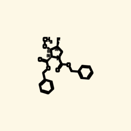 CO[C@H]1[C@@H](C(=O)OCc2ccccc2)N(C(=O)OCc2ccccc2)C[C@@H]1F